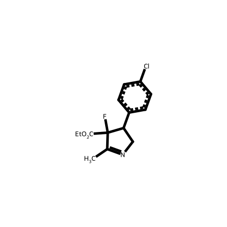 CCOC(=O)C1(F)C(C)=NCC1c1ccc(Cl)cc1